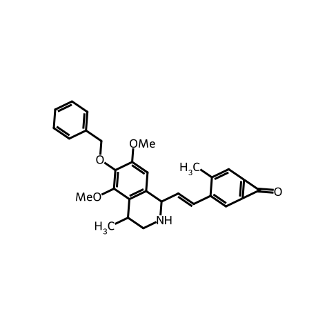 COc1cc2c(c(OC)c1OCc1ccccc1)C(C)CNC2/C=C/c1cc2c(=O)c2cc1C